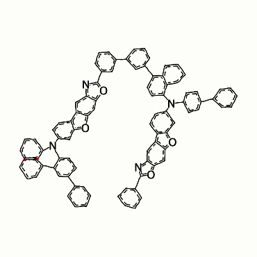 c1ccc(-c2ccc(N(c3ccc4c(c3)oc3cc5oc(-c6ccccc6)nc5cc34)c3ccc(-c4cccc(-c5cccc(-c6nc7cc8c(cc7o6)oc6cc(N(c7ccccc7)c7ccc(-c9ccccc9)cc7-c7ccccc7)ccc68)c5)c4)c4ccccc34)cc2)cc1